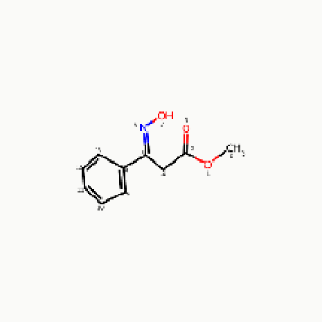 COC(=O)CC(=NO)c1ccccc1